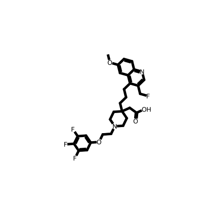 COc1ccc2ncc(CF)c(CCCC3(CC(=O)O)CCN(CCOc4cc(F)c(F)c(F)c4)CC3)c2c1